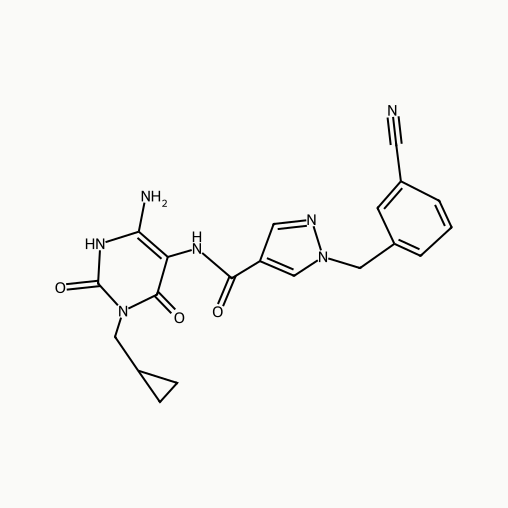 N#Cc1cccc(Cn2cc(C(=O)Nc3c(N)[nH]c(=O)n(CC4CC4)c3=O)cn2)c1